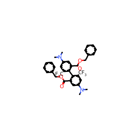 CN(C)c1cc(C(=O)OCc2ccccc2)c(-c2c(C(=O)OCc3ccccc3)cc(N(C)C)cc2C(F)(F)F)c(C(F)(F)F)c1